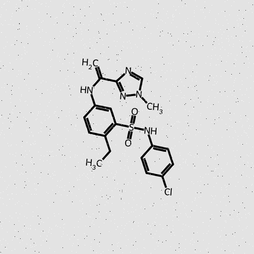 C=C(Nc1ccc(CC)c(S(=O)(=O)Nc2ccc(Cl)cc2)c1)c1ncn(C)n1